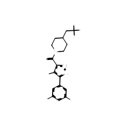 Cc1c(-c2cc(F)cc(C(F)(F)F)c2)n[nH]c1C(=O)N1CCC(CC(C)(C)O)CC1